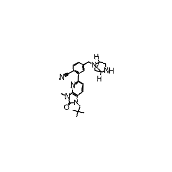 Cn1c(=O)n(CC(C)(C)C)c2ccc(-c3cc(CN4C[C@@H]5C[C@H]4CN5)ccc3C#N)nc21